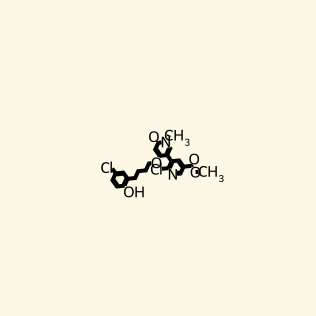 COC(=O)c1cnc(Cl)c(-c2cn(C)c(=O)cc2OCCCCc2cc(Cl)ccc2O)c1